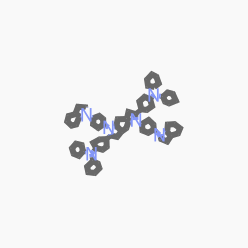 c1ccc(N(c2ccccc2)c2ccc(-c3cc4cc5c(cc(-c6ccc(N(c7ccccc7)c7ccccc7)cc6)n5-c5ccc(-n6ccc7ccccc76)cc5)cc4n3-c3ccc(-n4ccc5ccccc54)cc3)cc2)cc1